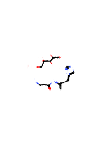 NCCC(=O)NC(Cc1c[nH]cn1)C(=O)O.O=C(CO)C(O)C(O)CO